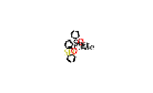 CCO[Si](OC)(c1ccccc1)c1cccc(S)c1Oc1ccccc1